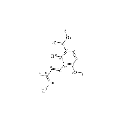 COC(=O)c1ccc(OC)c(C=CC(C)=NO)c1Cl